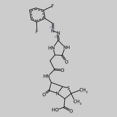 CC1(C)SC2C(NC(=O)CC3N/C(=N\N=C\c4c(F)cccc4F)NC3=O)C(=O)N2C1C(=O)O